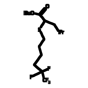 CC(C)COC(=O)C(CC(C)C)SCCCCC(F)(F)C(F)(F)F